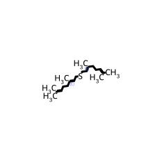 CC(C)=CCC/C(C)=C/CSC/C=C(\C)CCC=C(C)C